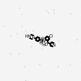 O=C(c1ccncc1)c1cc(Cl)ccc1NS(=O)(=O)c1ccc(N2CCNCC2)cc1